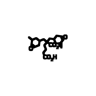 CC1CC(CC(CCCC(=O)O)(CC2CC(C)C3OC3C2)C(=O)O)CC2OC12